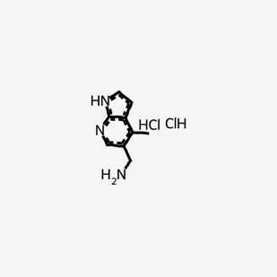 Cc1c(CN)cnc2[nH]ccc12.Cl.Cl